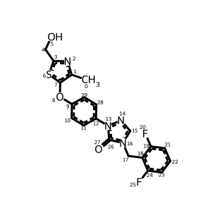 Cc1nc(CO)sc1Oc1ccc(-n2ncn(Cc3c(F)cccc3F)c2=O)cc1